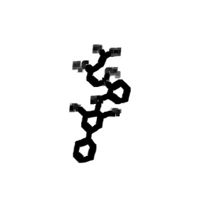 C=C(/C=C\N(C)c1ccccc1Nc1c(C(C)C)cc(-c2ccccc2)cc1C(C)C)/C=C(/S)CC